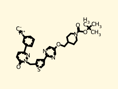 [C-]#[N+]c1cccc(-c2ccc(=O)n(Cc3cc(-c4ncc(OCC5CCN(C(=O)OC(C)(C)C)CC5)cn4)cs3)n2)c1